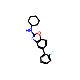 Fc1ccccc1-c1ccc2oc(NC3CCCCC3)nc2c1